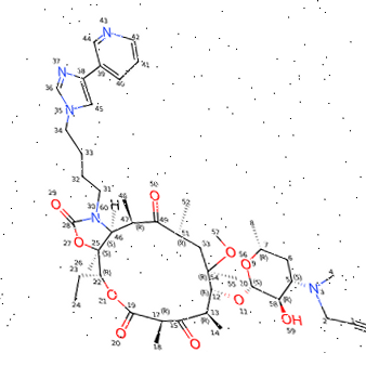 C#CCN(C)[C@H]1C[C@@H](C)O[C@@H](O[C@@H]2[C@@H](C)C(=O)[C@@H](C)C(=O)O[C@H](CC)[C@@]3(C)OC(=O)N(CCCCn4cnc(-c5cccnc5)c4)[C@H]3[C@@H](C)C(=O)[C@H](C)C[C@@]2(C)OC)[C@@H]1O